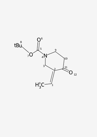 CC=C1CN(C(=O)OC(C)(C)C)CCC1=O